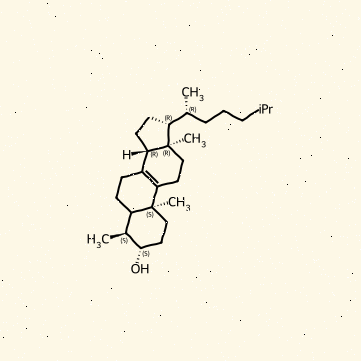 CC(C)CCC[C@@H](C)[C@H]1CC[C@H]2C3=C(CC[C@]12C)[C@@]1(C)CC[C@H](O)[C@@H](C)C1CC3